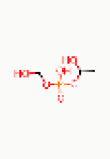 CC(O)OP(=O)(O)OCO